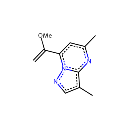 C=C(OC)c1cc(C)nc2c(C)cnn12